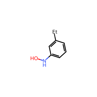 CCc1cccc(NO)c1